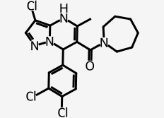 CC1=C(C(=O)N2CCCCCC2)C(c2ccc(Cl)c(Cl)c2)n2ncc(Cl)c2N1